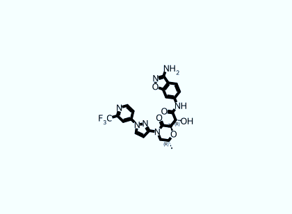 C[C@@H]1CN(c2ccn(-c3ccnc(C(F)(F)F)c3)n2)C(=O)[C@@H]([C@@H](O)C(=O)Nc2ccc3c(N)noc3c2)O1